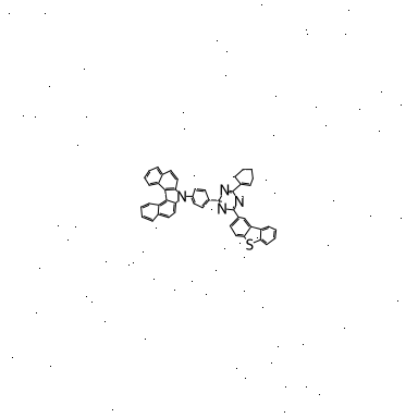 C1=C(c2nc(-c3ccc(-n4c5ccc6ccccc6c5c5c6ccccc6ccc54)cc3)nc(-c3ccc4sc5ccccc5c4c3)n2)CCCC1